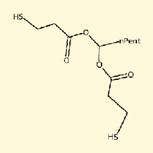 CCCCCC(OC(=O)CCS)OC(=O)CCS